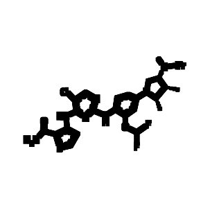 CC(C)N(C)[C@H]1CN(c2ccc(Nc3ncc(Cl)c(Nc4ccsc4C(N)=O)n3)c(OC(F)F)c2)[C@@H](C)[C@H]1C